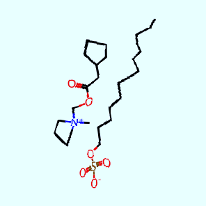 CCCCCCCCCCCCOS(=O)(=O)[O-].C[N+]1(COC(=O)CC2CCCC2)CCCC1